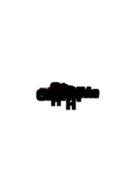 C/N=C(\CCNC(=O)c1cc(NC(=O)c2cc(NC(=O)c3ccc(/C=C/c4cccc(OC)c4)cc3)cn2C)cn1C)NC